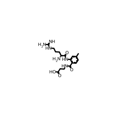 Cc1ccc(C(=O)NCCC(=O)O)c(NC(=O)[C@@H](N)CCCNC(=N)N)c1